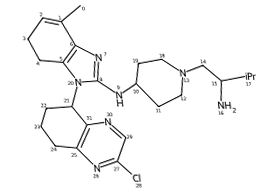 CC1=CCCc2c1nc(NC1CCN(CC(N)C(C)C)CC1)n2C1CCCc2nc(Cl)cnc21